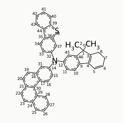 CC1(C)C2=C(C=CCC2)c2ccc(N(c3ccc4c(ccc5ccc6ccccc6c54)c3)c3ccc4c(c3)sc3ccccc34)cc21